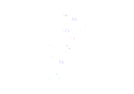 CNC(=O)C1(NC(=O)C(=O)c2c(C)c(C(=O)Nc3ccc(F)c(F)c3)c3n2CCC3)CC(F)(F)C1